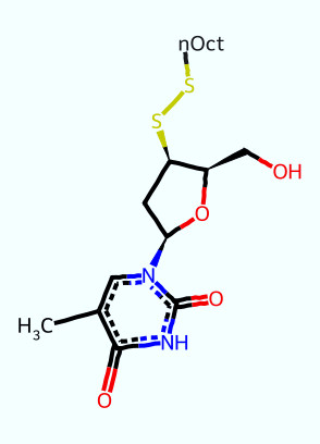 CCCCCCCCSS[C@@H]1C[C@H](n2cc(C)c(=O)[nH]c2=O)O[C@@H]1CO